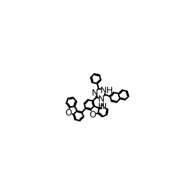 c1ccc(C2N=C(c3ccc(-c4cccc5oc6ccccc6c45)c4oc5cccnc5c34)NC(c3ccc4ccccc4c3)N2)cc1